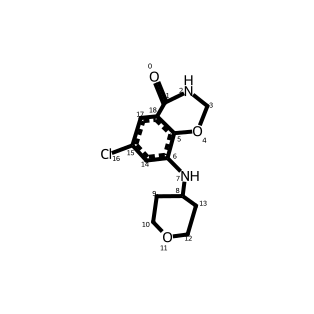 O=C1NCOc2c(NC3CCOCC3)cc(Cl)cc21